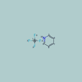 F[B-](F)(F)F.[c]1ccccn1